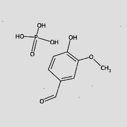 COc1cc(C=O)ccc1O.O=P(O)(O)O